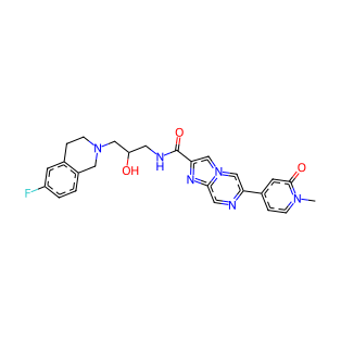 Cn1ccc(-c2cn3cc(C(=O)NCC(O)CN4CCc5cc(F)ccc5C4)nc3cn2)cc1=O